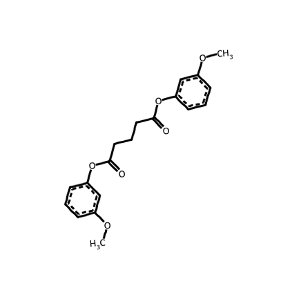 COc1cccc(OC(=O)CCCC(=O)Oc2cccc(OC)c2)c1